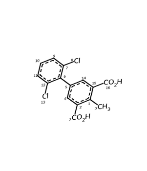 Cc1c(C(=O)O)cc(-c2c(Cl)cccc2Cl)cc1C(=O)O